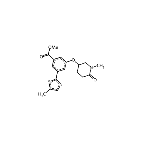 COC(=O)c1cc(OC2CCC(=O)N(C)C2)cc(-c2ncc(C)s2)c1